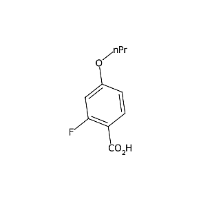 CCCOc1ccc(C(=O)O)c(F)c1